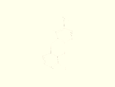 Cc1c(N)cncc1Cc1ccnc(Cl)c1F